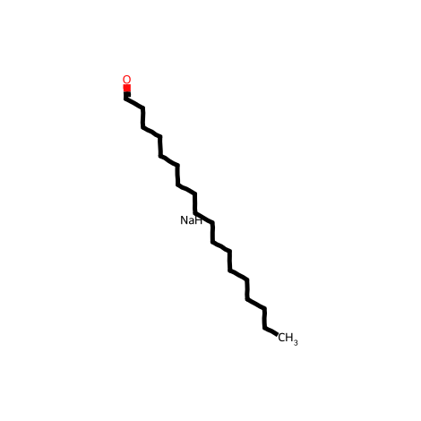 CCCCCCCCCCCCCCCCCC=O.[NaH]